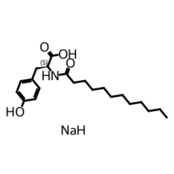 CCCCCCCCCCCC(=O)N[C@@H](Cc1ccc(O)cc1)C(=O)O.[NaH]